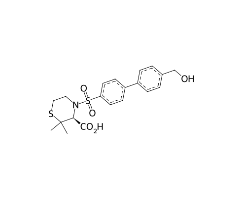 CC1(C)SCCN(S(=O)(=O)c2ccc(-c3ccc(CO)cc3)cc2)[C@H]1C(=O)O